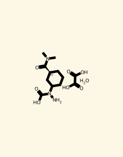 CN(C)C(=O)[C@H]1CCCC(N(N)C(=O)O)C1.O.O=C(O)C(=O)O